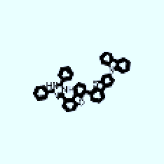 c1ccc(C2N=C(c3cccc4oc5c(-c6cccc7c6sc6cc(-n8c9ccccc9c9ccccc98)ccc67)cccc5c34)NC(c3ccccc3)N2)cc1